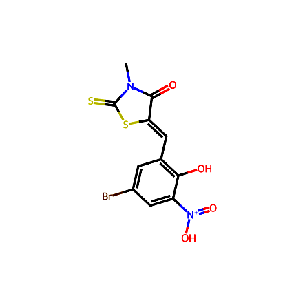 CN1C(=O)/C(=C/c2cc(Br)cc([N+](=O)O)c2O)SC1=S